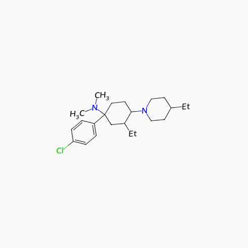 CCC1CCN(C2CCC(c3ccc(Cl)cc3)(N(C)C)CC2CC)CC1